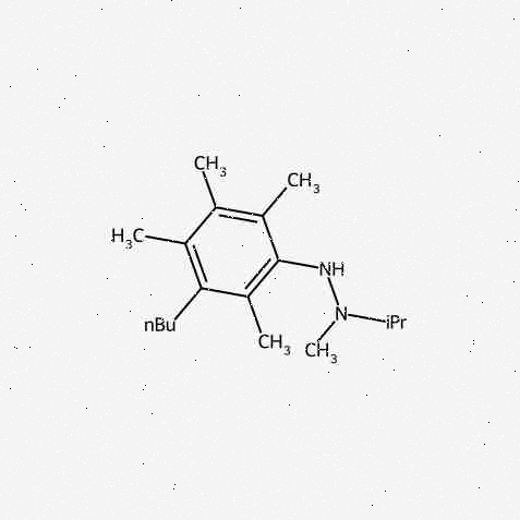 CCCCc1c(C)c(C)c(C)c(NN(C)C(C)C)c1C